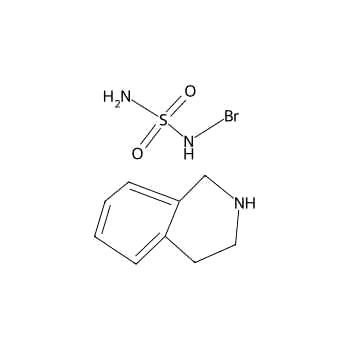 NS(=O)(=O)NBr.c1ccc2c(c1)CCNC2